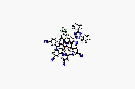 N#Cc1ccc(-c2ccc3c(c2)c2cc(-c4ccc(C#N)cc4C#N)ccc2n3-c2ccc(-c3nc(-c4ccccc4)nc(-c4ccccc4)n3)cc2-c2cc(C(F)(F)F)ccc2-n2c3ccc(-c4ccc(C#N)cc4C#N)cc3c3cc(-c4ccc(C#N)cc4C#N)ccc32)c(C#N)c1